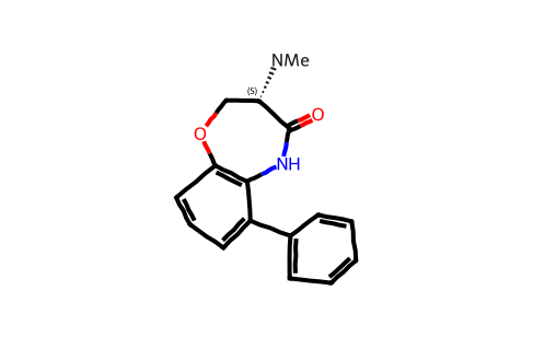 CN[C@H]1COc2cccc(-c3ccccc3)c2NC1=O